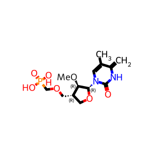 C=C1NC(=O)N([C@@H]2OC[C@H](COCP(=O)(O)O)[C@H]2OC)C=C1C